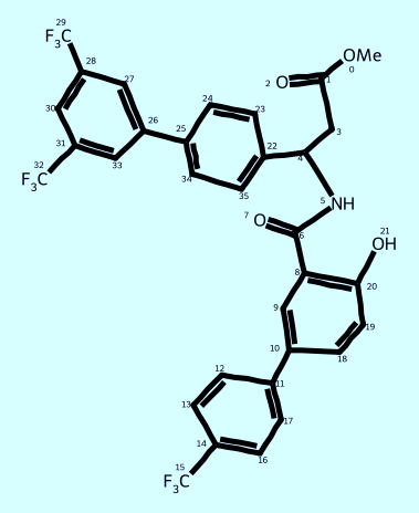 COC(=O)CC(NC(=O)c1cc(-c2ccc(C(F)(F)F)cc2)ccc1O)c1ccc(-c2cc(C(F)(F)F)cc(C(F)(F)F)c2)cc1